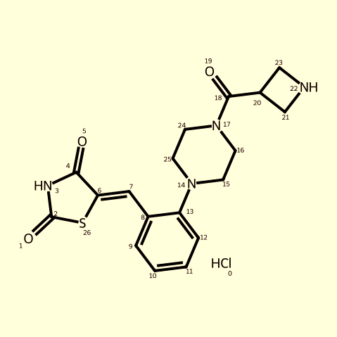 Cl.O=C1NC(=O)/C(=C/c2ccccc2N2CCN(C(=O)C3CNC3)CC2)S1